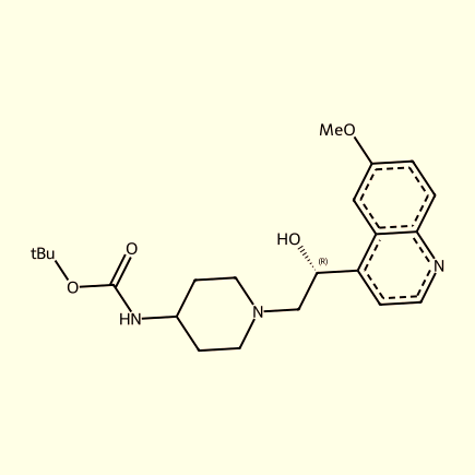 COc1ccc2nccc([C@@H](O)CN3CCC(NC(=O)OC(C)(C)C)CC3)c2c1